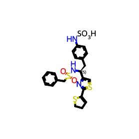 O=S(=O)(O)Nc1ccc(C[C@H](NS(=O)(=O)Cc2ccccc2)c2csc(C3=CCCS3)n2)cc1